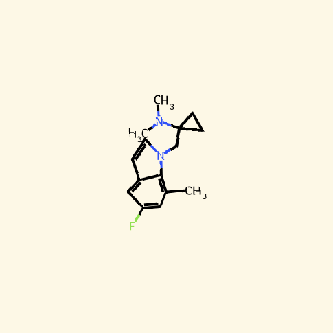 Cc1cc(F)cc2ccn(CC3(N(C)C)CC3)c12